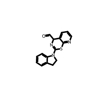 O=CC1N=C(N2CCc3ccccc32)Sc2ncccc21